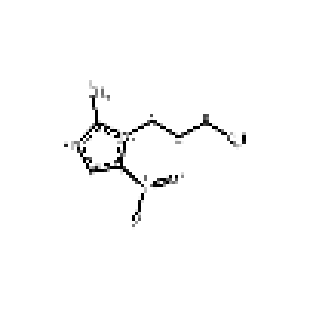 Cc1ncc([N+](=O)[O-])n1CCCO